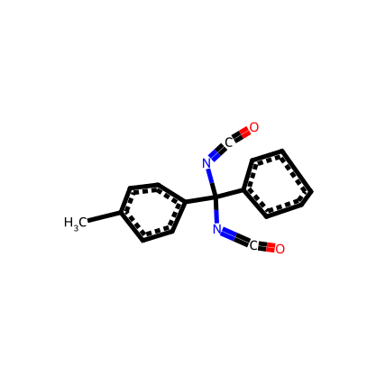 Cc1ccc(C(N=C=O)(N=C=O)c2ccccc2)cc1